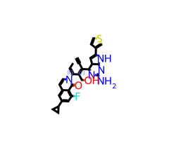 C#C/C(C1=NC(N)=NC2NC(c3ccsc3)=CC12)=C(CO)\C(=C/C)n1ccc2cc(C3CC3)cc(F)c2c1=O